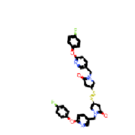 O=C1C[C@@H](SS[C@@H]2CC(=O)N(Cc3ccc(Oc4ccc(F)cc4)nc3)C2)CN1Cc1ccc(Oc2ccc(F)cc2)nc1